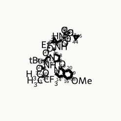 CC[C@@H]1C[C@]1(NC(=O)[C@@H]1C[C@@H](Oc2nccc3cc(OC)ccc23)CN1C(=O)[C@@H](NC(=O)OC(C)(C)C(F)(F)F)C(C)(C)C)C(=O)NS(=O)(=O)OC1CC1